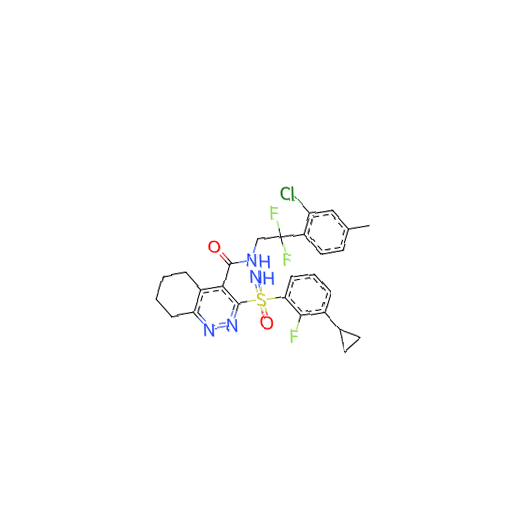 Cc1ccc(C(F)(F)CNC(=O)c2c(S(=N)(=O)c3cccc(C4CC4)c3F)nnc3c2CCCC3)c(Cl)c1